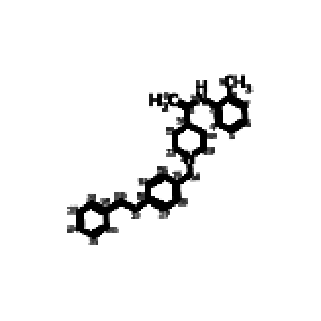 C=C(Nc1ccccc1C)C1CCN(Cc2ccc(CCc3ccccc3)cc2)CC1